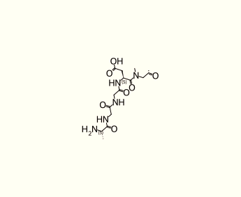 C[C@H](N)C(=O)NCC(=O)NCC(=O)N[C@@H](CC(=O)O)C(=O)N(C)C[C]=O